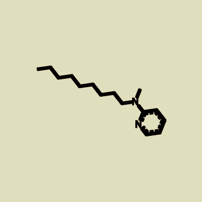 CCCCCCCCCN(C)c1ccccn1